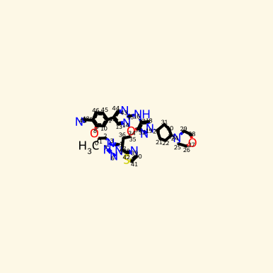 C[C@@H](Cn1cnnn1)Oc1cc(-c2cnc(Nc3cn([C@H]4CC[C@H](N5CCOCC5)CC4)nc3OCCCc3nccs3)nc2)ccc1C#N